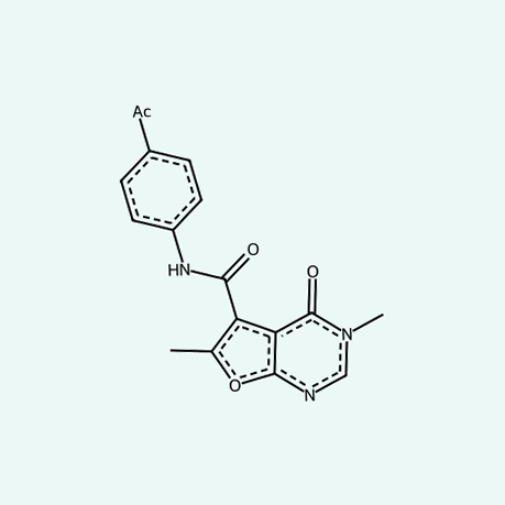 CC(=O)c1ccc(NC(=O)c2c(C)oc3ncn(C)c(=O)c23)cc1